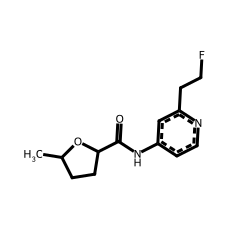 CC1CCC(C(=O)Nc2ccnc(CCF)c2)O1